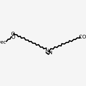 CCCCCCCCCCCCCCOC(=O)CCCCCCCCCCCCCCCCCN1CCN=C1CCCCCCCCCCCCCCCCC(=O)O